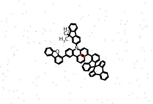 CC1(C)c2ccccc2-c2ccc(N(c3ccc(-c4cccc5c4-c4ccccc4C54c5ccccc5-c5ccccc5-c5ccccc54)cc3)c3ccc(-c4cccc5c4oc4ccccc45)cc3-c3ccccc3)cc21